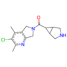 Cc1nc2c(c(C)c1Cl)CN(C(=O)C1C3CNCC31)C2